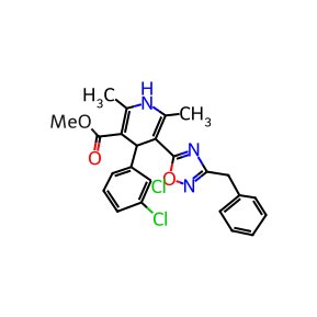 COC(=O)C1=C(C)NC(C)=C(c2nc(Cc3ccccc3)no2)C1c1cccc(Cl)c1Cl